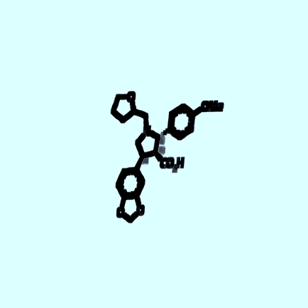 COc1ccc([C@@H]2[C@@H](C(=O)O)[C@@H](c3ccc4c(c3)OCO4)CN2CC2CCCO2)cc1